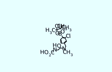 CN(Cc1ccc(B2OC(C)(C)C(C)(C)O2)c(Cl)c1)C(=O)CNC(=O)O